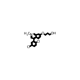 C[n+]1cc(-c2cc(Cl)ccc2Cl)c2ccc(OCCCO)cc2c1